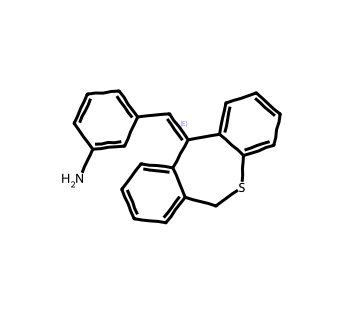 Nc1cccc(/C=C2\c3ccccc3CSc3ccccc32)c1